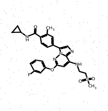 Cc1cc(-c2cnc3c(NCCS(C)(=O)=O)cc(Oc4cccc(F)c4)nn23)ccc1C(=O)NC1CC1